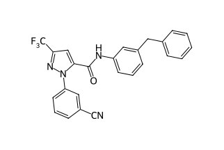 N#Cc1cccc(-n2nc(C(F)(F)F)cc2C(=O)Nc2cccc(Cc3ccccc3)c2)c1